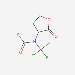 O=C1OCCC1N(C(=O)F)C(F)(F)F